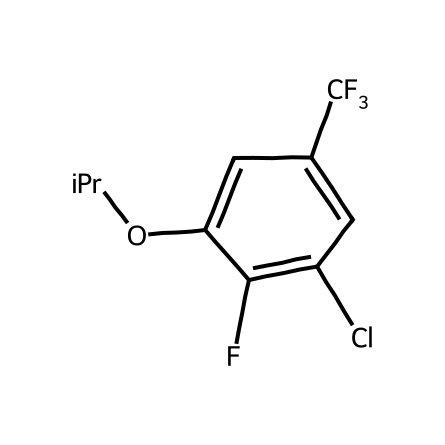 CC(C)Oc1cc(C(F)(F)F)cc(Cl)c1F